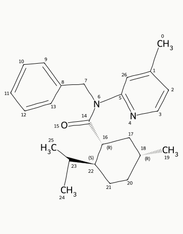 Cc1ccnc(N(Cc2ccccc2)C(=O)[C@@H]2C[C@H](C)CC[C@H]2C(C)C)c1